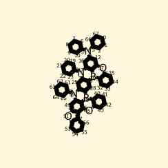 c1ccc(N(c2ccccc2)c2cc3c4c(c2)N(c2ccccc2)c2cc5c(cc2B4c2ccccc2O3)B2c3ccccc3Oc3c2c(cc2oc4ccccc4c32)N5c2ccccc2)cc1